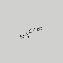 COC(=O)c1ccc(Cn2cc[c]n2)cc1